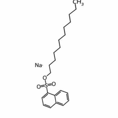 CCCCCCCCCCCCOS(=O)(=O)c1cccc2ccccc12.[Na]